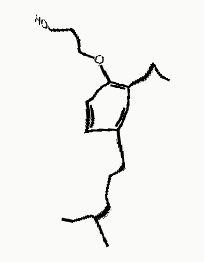 CCc1cc(CCCC(C)C)ccc1OCCO